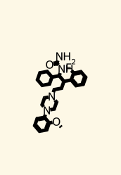 COc1ccccc1N1CCN(CCC(c2ccccc2F)C(NC(N)=O)C2CCCCC2)CC1